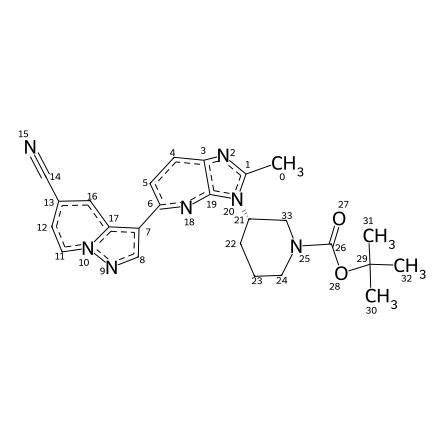 Cc1nc2ccc(-c3cnn4ccc(C#N)cc34)nc2n1[C@H]1CCCN(C(=O)OC(C)(C)C)C1